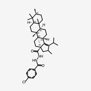 CC(C)C1=C2[C@H]3CC[C@@H]4C5(C)CC[C@H](C)C(C)(C)[C@@H]5CC[C@@]4(C)[C@]3(C)CC[C@@]2(C(=O)NNC(=O)c2ccc(Cl)cc2)CC1C